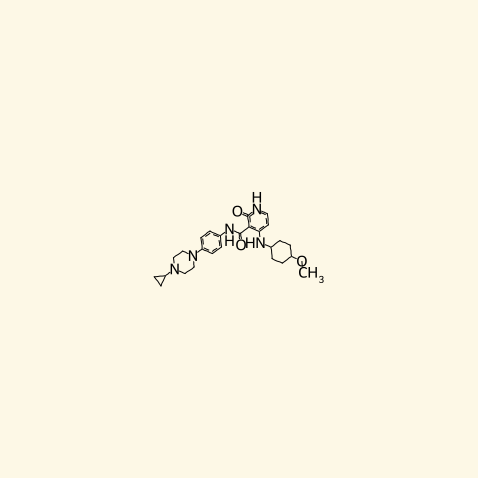 COC1CCC(Nc2cc[nH]c(=O)c2C(=O)Nc2ccc(N3CCN(C4CC4)CC3)cc2)CC1